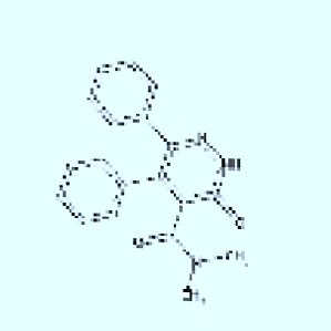 CN(C)C(=O)c1c(-c2ccccc2)c(-c2ccccc2)n[nH]c1=O